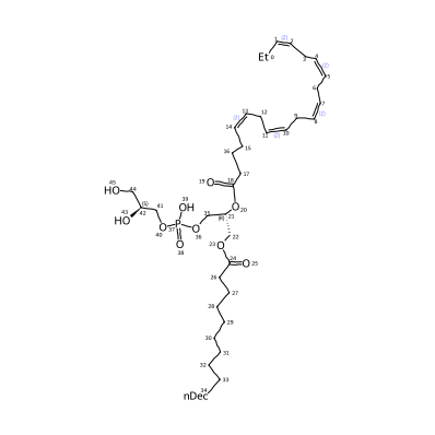 CC/C=C\C/C=C\C/C=C\C/C=C\C/C=C\CCCC(=O)O[C@H](COC(=O)CCCCCCCCCCCCCCCCCC)COP(=O)(O)OC[C@@H](O)CO